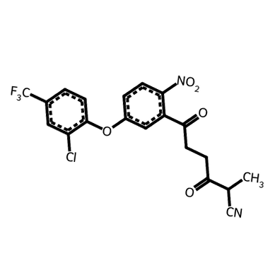 CC(C#N)C(=O)CCC(=O)c1cc(Oc2ccc(C(F)(F)F)cc2Cl)ccc1[N+](=O)[O-]